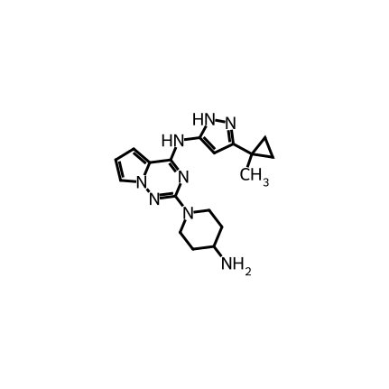 CC1(c2cc(Nc3nc(N4CCC(N)CC4)nn4cccc34)[nH]n2)CC1